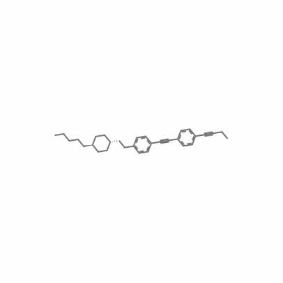 CCC#Cc1ccc(C#Cc2ccc(CC[C@H]3CC[C@H](CCCCC)CC3)cc2)cc1